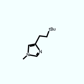 Cn1cnc(CCC(C)(C)C)c1